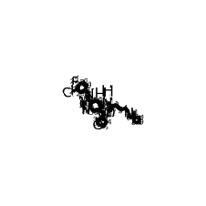 O=C(/C=C/CN1CC2(CCC2)C1)Nc1cc2c(Nc3ccc(F)c(Cl)c3)ncnc2cc1OC1CCOC1